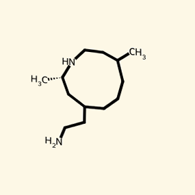 CC1CCCC(CCN)C[C@H](C)NCC1